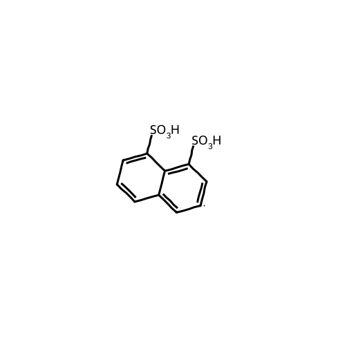 O=S(=O)(O)c1c[c]cc2cccc(S(=O)(=O)O)c12